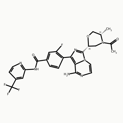 CC(=O)N1C[C@H](c2nc(-c3ccc(C(=O)Nc4cc(C(F)(F)F)ccn4)cc3F)c3c(N)nccn23)OC[C@@H]1C